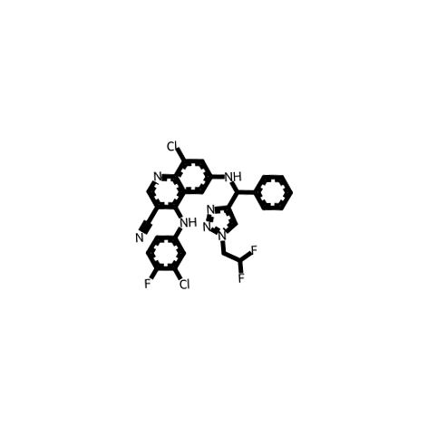 N#Cc1cnc2c(Cl)cc(NC(c3ccccc3)c3cn(CC(F)F)nn3)cc2c1Nc1ccc(F)c(Cl)c1